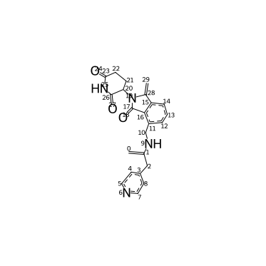 C=C(Cc1ccncc1)NCc1cccc2c1C(=O)N(C1CCC(=O)NC1=O)C2=C